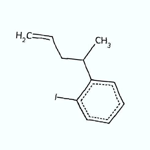 C=CCC(C)c1ccccc1I